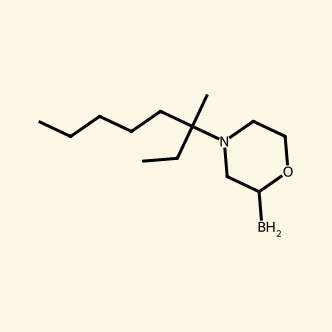 BC1CN(C(C)(CC)CCCCC)CCO1